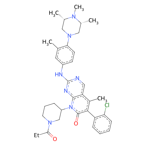 CCC(=O)N1CCCC(n2c(=O)c(-c3ccccc3Cl)c(C)c3cnc(Nc4ccc(N5C[C@@H](C)N(C)[C@@H](C)C5)c(C)c4)nc32)C1